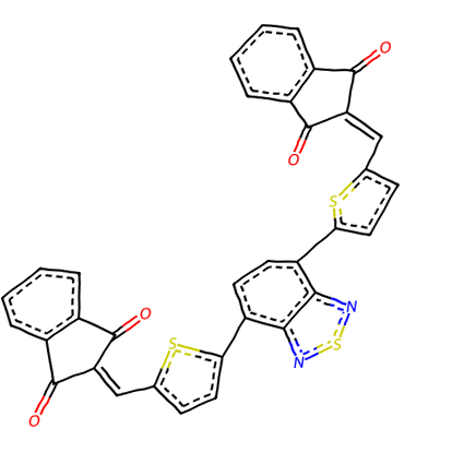 O=C1C(=Cc2ccc(-c3ccc(-c4ccc(C=C5C(=O)c6ccccc6C5=O)s4)c4nsnc34)s2)C(=O)c2ccccc21